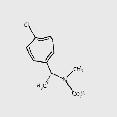 C[C@H](c1ccc(Cl)cc1)N(C)C(=O)O